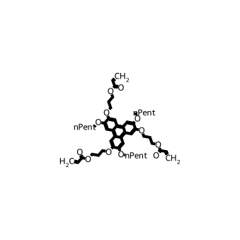 C=CC(=O)OCCCOc1cc2c(cc1OCCCCC)c1cc(OCCCOC(=O)C=C)c(OCCCCC)cc1c1cc(OCCCOC(=O)C=C)c(OCCCCC)cc21